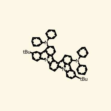 CC(C)(C)c1ccc2c(c1)c1c(N(c3ccccc3)c3ccccc3)ccc3c4c5c6ccc(N(c7ccccc7)c7ccccc7)c7c8cc(C(C)(C)C)ccc8n(c5ccc4n2c31)c67